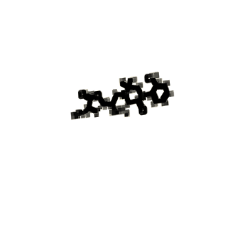 CCC[C@@H]1C[C@@H]([C@@H](N)CN2CC(=O)N(c3ccccc3Cl)CC2(C)C)OC1=O